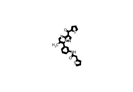 Cc1cnc2c(C(=O)c3cccs3)cnn2c1-c1cccc(NC(=O)Cc2cccs2)c1